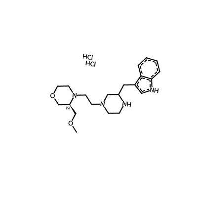 COC[C@H]1COCCN1CCN1CCNC(Cc2c[nH]c3ccccc23)C1.Cl.Cl